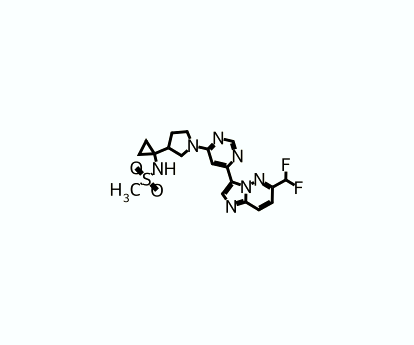 CS(=O)(=O)NC1(C2CCN(c3cc(-c4cnc5ccc(C(F)F)nn45)ncn3)C2)CC1